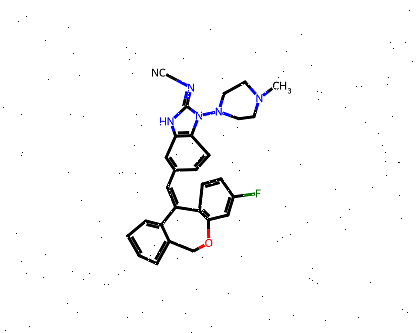 CN1CCN(n2c(=NC#N)[nH]c3cc(C=C4c5ccccc5COc5cc(F)ccc54)ccc32)CC1